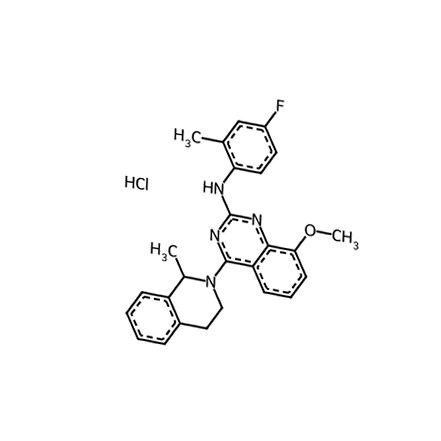 COc1cccc2c(N3CCc4ccccc4C3C)nc(Nc3ccc(F)cc3C)nc12.Cl